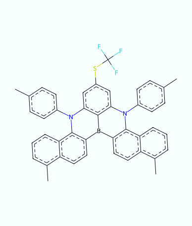 Cc1ccc(N2c3cc(SC(F)(F)F)cc4c3B(c3ccc5c(C)cccc5c32)c2ccc3c(C)cccc3c2N4c2ccc(C)cc2)cc1